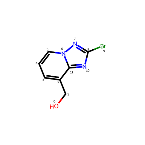 OCc1cccn2nc(Br)nc12